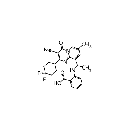 Cc1cc(C(C)Nc2ccccc2C(=O)O)c2nc(C3CCC(F)(F)CC3)c(C#N)c(=O)n2c1